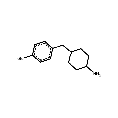 CC(C)(C)c1ccc(CN2CCC(N)CC2)cc1